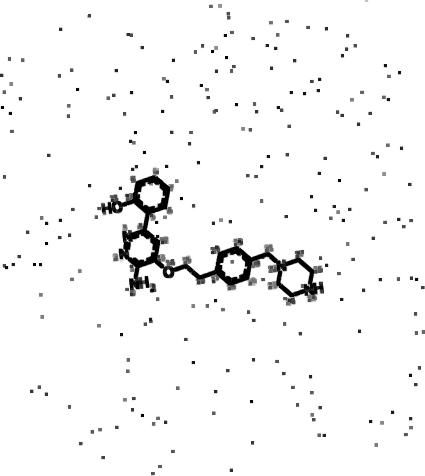 Nc1nnc(-c2ccccc2O)cc1OCCc1ccc(CN2CCNCC2)cc1